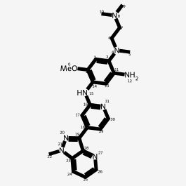 COc1cc(N(C)CCN(C)C)c(N)cc1Nc1cc(-c2nn(C)c3cccnc23)ccn1